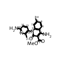 COC(=O)c1c(N)c2ccc(I)cc2n(-c2ccc(N)nc2C)c1=O